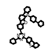 c1ccc(-c2ccc(-n3c4ccccc4c4ccc5c6ccc(-c7nc(-c8ccccc8)nc(-c8ccc9c(c8)sc8ccccc89)n7)cc6oc5c43)cc2)cc1